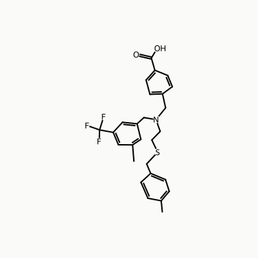 Cc1ccc(CSCCN(Cc2ccc(C(=O)O)cc2)Cc2cc(C)cc(C(F)(F)F)c2)cc1